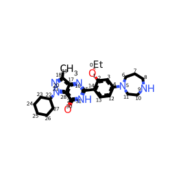 CCOc1cc(N2CCCNCC2)ccc1-c1nc2c(C)nn(C3CCCCC3)c2c(=O)[nH]1